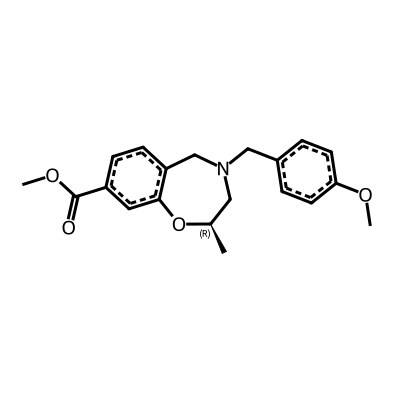 COC(=O)c1ccc2c(c1)O[C@H](C)CN(Cc1ccc(OC)cc1)C2